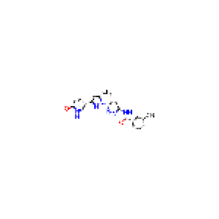 N#Cc1cccc(C(=O)Nc2ccc(-n3nc(-c4ccc(=O)[nH]c4)cc3C(F)(F)F)nn2)c1